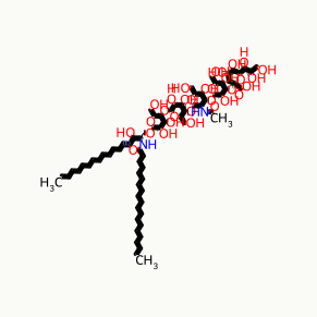 CCCCCCCCCCCCC/C=C/[C@@H](O)[C@H](CO[C@@H]1OC(CO)[C@@H](O[C@@H]2OC(CO)[C@H](O[C@@H]3OC(CO)[C@H](O)[C@H](O[C@@H]4OC(CO)[C@H](O)[C@H](O[C@]5(C(=O)O)CC(O)[C@@H](O)C([C@H](O)[C@H](O)CO)O5)C4O)C3NC(C)=O)[C@H](O)C2O)[C@H](O)C1O)NC(=O)CCCCCCCCCCCCCCCCCCC